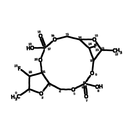 CC1OC2COP(=O)(O)OC3C(C)OC(COP(=O)(O)OC2C1F)C3F